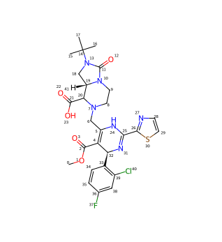 COC(=O)C1=C(CN2CCN3C(=O)N(C(C)(C)C)C[C@H]3C2C(=O)O)NC(c2nccs2)=N[C@H]1c1ccc(F)cc1Cl